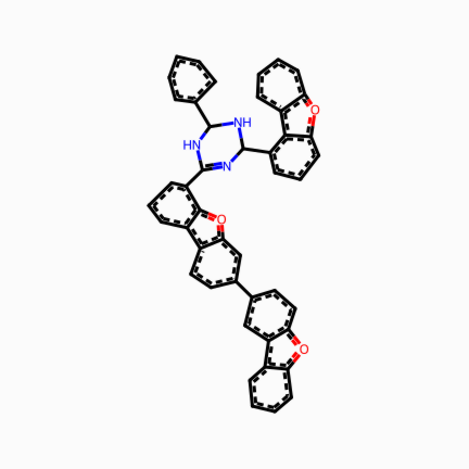 c1ccc(C2NC(c3cccc4c3oc3cc(-c5ccc6oc7ccccc7c6c5)ccc34)=NC(c3cccc4oc5ccccc5c34)N2)cc1